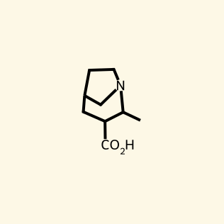 CC1C(C(=O)O)CC2CCN1C2